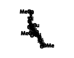 COC(=O)/C=C/c1ccc(OCCOC(=O)C(C)(CC(C)(C)C)C(C)(C)C(C)(C)CC(CC(=O)OC)(C(=O)OCCOc2ccc(/C=C/C(=O)OC)cc2)C(C)(C)C)cc1